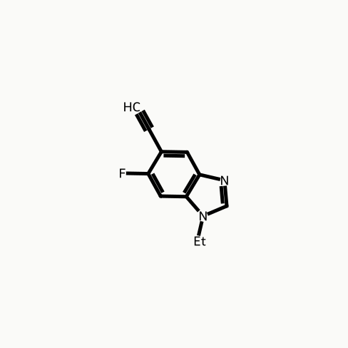 C#Cc1cc2ncn(CC)c2cc1F